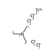 CN(C)C.[Cl-].[Cl-].[Cl-].[Cl-].[Ti+4]